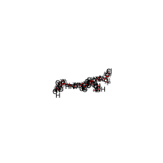 CC1(C)CCC(CN2CCN(c3ccc(C(=O)NS(=O)(=O)c4ccc(NC[C@H]5CC[C@H](NCCCCc6cccc7c6CN(C6CCC(=O)NC6=O)C7=O)CC5)c([N+](=O)[O-])c4)c(Oc4cnc5[nH]ccc5c4)c3)CC2)=C(c2ccc(Cl)cc2)C1